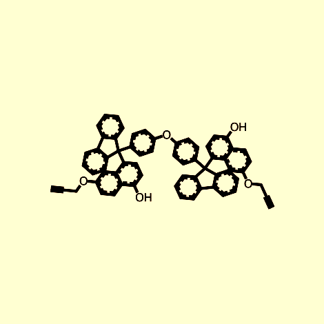 C#CCOc1ccc2c(O)ccc(C3(c4ccc(Oc5ccc(C6(c7ccc(O)c8ccc(OCC#C)cc78)c7ccccc7-c7ccccc76)cc5)cc4)c4ccccc4-c4ccccc43)c2c1